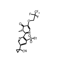 CCS(=O)(=O)c1cc(C2(C#N)CC2)cnc1-c1ncc(OCC(F)(F)C(F)(F)F)c(=O)n1C